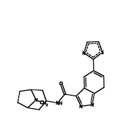 CN1C2CCC1CC(NC(=O)C1=NN=C3CC=C(c4nccs4)C=C31)C2